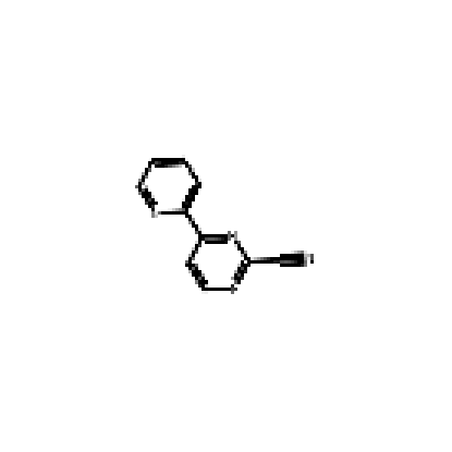 N#Cc1nccc(-c2ccccn2)n1